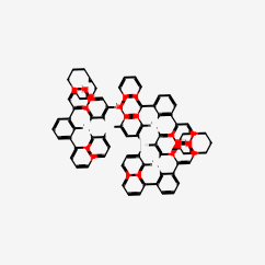 c1ccc(-c2cccc(-c3ccccc3)c2N2c3ccccc3B3c4cc5c(cc4N(c4ccccc4)c4cc(N6C7CCCC6CCC7)cc2c43)N(c2c(-c3ccccc3)cccc2-c2ccccc2)c2cc(N3C4CCCC3CCC4)cc3c2B5c2ccccc2N3c2c(-c3ccccc3)cccc2-c2ccccc2)cc1